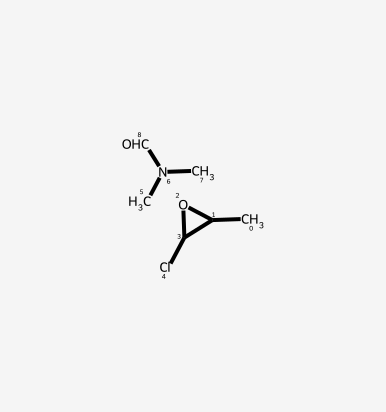 CC1OC1Cl.CN(C)C=O